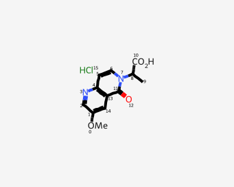 COc1cnc2ccn(C(C)C(=O)O)c(=O)c2c1.Cl